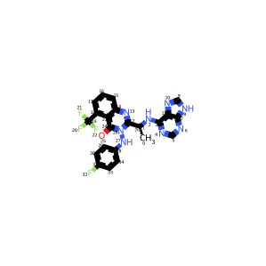 C[C@H](Nc1ncnc2[nH]cnc12)c1nc2cccc(C(F)(F)F)c2c(=O)n1Nc1ccc(F)cc1